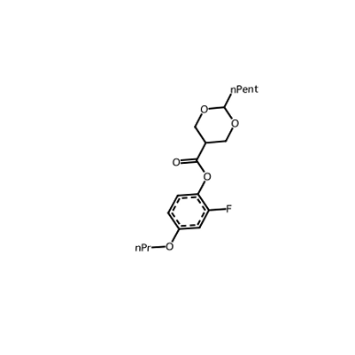 CCCCCC1OCC(C(=O)Oc2ccc(OCCC)cc2F)CO1